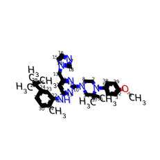 COc1ccc(N2CCN(c3nc(Cn4ccnc4)cc(Nc4cc(C(C)(C)C)ccc4C)n3)CC2(C)C)cc1